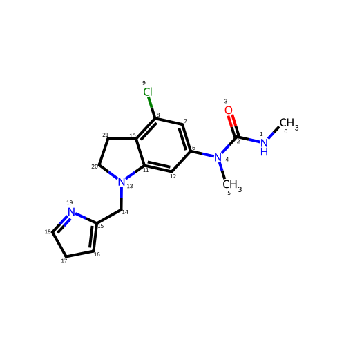 CNC(=O)N(C)c1cc(Cl)c2c(c1)N(CC1=CCC=N1)CC2